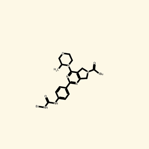 CCNC(=O)Nc1ccc(-c2nc3c(c(N4CCOCC4C)n2)CN(C(=O)C(C)(C)C)C3)cc1